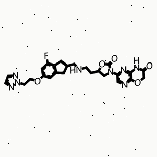 O=C1COc2ncc(N3CC(CCNCC4Cc5cc(OCCn6nccn6)cc(F)c5C4)OC3=O)nc2N1